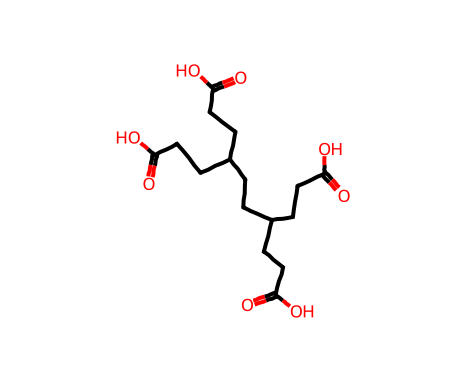 O=C(O)CCC(CCC(=O)O)CCC(CCC(=O)O)CCC(=O)O